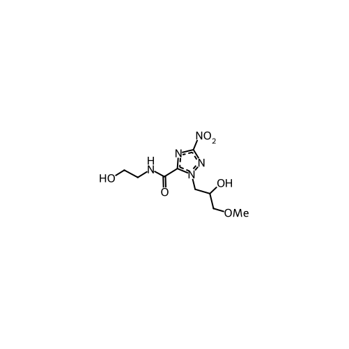 COCC(O)Cn1nc([N+](=O)[O-])nc1C(=O)NCCO